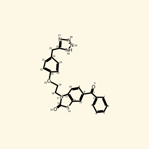 O=C(c1ccccc1)c1ccc2c(c1)sc(=O)n2CCOc1ccc(Cc2nnn[nH]2)cc1